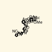 COC(=O)[C@H]1O[C@@H](OC(=O)Nc2ccccc2CN(C)C(=O)n2ccc3c(-c4cnn([C@H](CC#N)C5CCCC5)c4)ncnc32)[C@H](OC(C)=O)[C@@H](OC(C)=O)[C@@H]1OC(C)=O